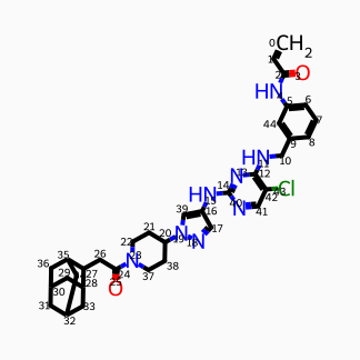 C=CC(=O)Nc1cccc(CNc2nc(Nc3cnn(C4CCN(C(=O)CC5C6CC7CC(C6)CC5C7)CC4)c3)ncc2Cl)c1